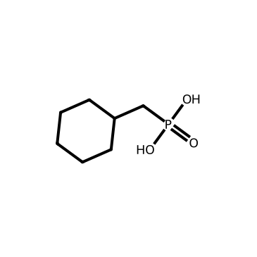 O=P(O)(O)CC1CCCCC1